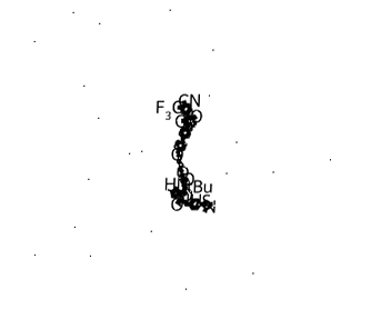 Cc1ncsc1-c1ccc(CNC(=O)[C@@H]2C[C@@H](C)CN2C(=O)[C@@H](NC(=O)COCCCCOc2ccc(-c3ccc(N4C(=O)N(c5ccc(C#N)c(C(F)(F)F)c5)C(=O)C4(C)C)cc3)cc2)C(C)(C)C)cc1